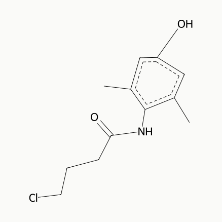 Cc1cc(O)cc(C)c1NC(=O)CCCCl